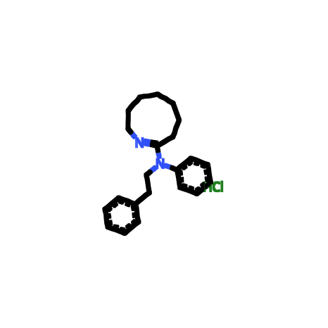 Cl.c1ccc(CCN(C2=NCCCCCCC2)c2ccccc2)cc1